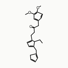 CCC1C(CCC(=O)Cc2ccc(OC)c(OC)c2)=CC=C1CC1=CC=CC1